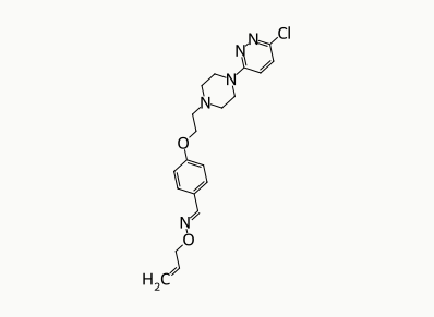 C=CCON=Cc1ccc(OCCN2CCN(c3ccc(Cl)nn3)CC2)cc1